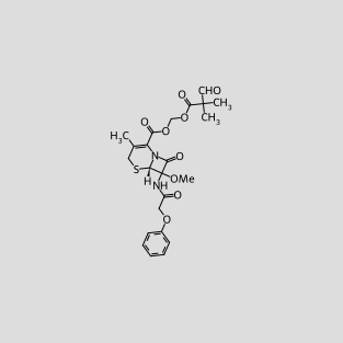 COC1(NC(=O)COc2ccccc2)C(=O)N2C(C(=O)OCOC(=O)C(C)(C)C=O)=C(C)CS[C@H]21